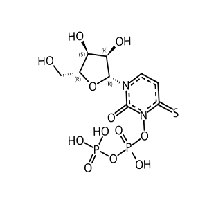 O=c1n([C@@H]2O[C@H](CO)[C@@H](O)[C@H]2O)ccc(=S)n1OP(=O)(O)OP(=O)(O)O